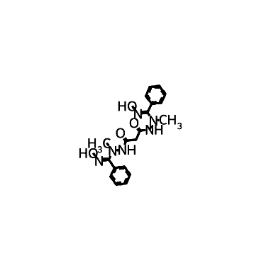 CN(NC(=O)CC(=O)NN(C)C(=NO)c1ccccc1)C(=NO)c1ccccc1